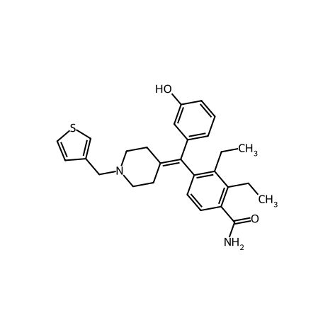 CCc1c(C(N)=O)ccc(C(=C2CCN(Cc3ccsc3)CC2)c2cccc(O)c2)c1CC